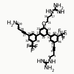 N=C(N)NCCC#Cc1cc(-c2cc(OCCCNC(=N)N)cc(-c3cc(C#CCCN)cc(C(F)(F)F)c3)c2)cc(C(F)(F)F)c1